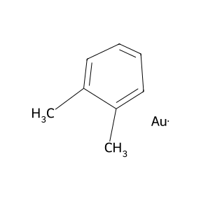 Cc1ccccc1C.[Au]